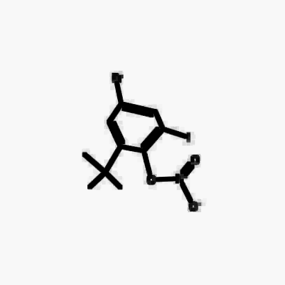 CC(C)(C)c1cc(Br)cc(I)c1O[N+](=O)[O-]